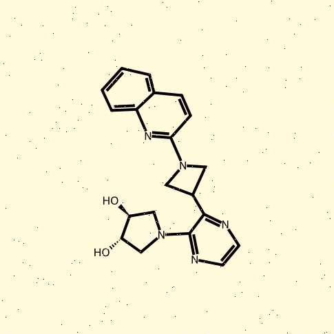 O[C@H]1CN(c2nccnc2C2CN(c3ccc4ccccc4n3)C2)C[C@@H]1O